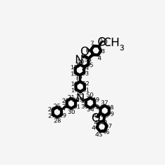 COc1ccc2c(c1)oc1nc3ccc(-c4ccc(N(c5ccc(-c6ccccc6)cc5)c5ccc(-c6cccc7c6oc6ccccc67)cc5)cc4)cc3cc12